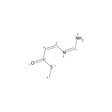 CSC(=O)/C=C\N=C/N